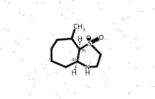 CC1CCCC[C@@H]2NCCS(=O)(=O)[C@H]12